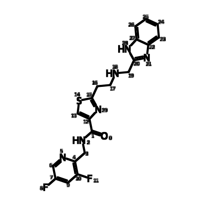 O=C(NCc1ncc(F)cc1F)c1csc(CCNCc2nc3ccccc3[nH]2)n1